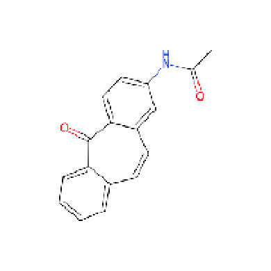 CC(=O)Nc1ccc2c(=O)c3ccccc3ccc2c1